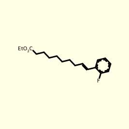 CCOC(=O)CCCCCCCC=Cc1ccccc1F